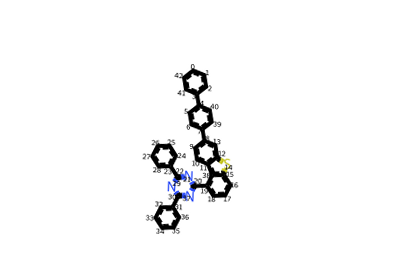 c1ccc(-c2ccc(-c3ccc4c(c3)sc3cccc(-c5nc(-c6ccccc6)nc(-c6ccccc6)n5)c34)cc2)cc1